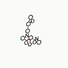 c1cc2ccc(-c3ccccc3N(c3ccc(-c4ccc5c(c4)oc4ccccc45)cc3)c3ccc(-c4nc5ccccc5o4)cc3)oc-2c1